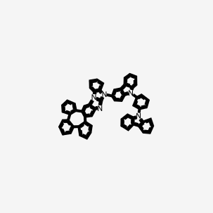 c1cc(-n2c3ccccc3c3ccccc32)cc(-n2c3ccccc3c3cc(-n4c5ccccc5n5c6cc7c(cc6nc45)-c4ccccc4-c4ccccc4-c4ccccc4-7)ccc32)c1